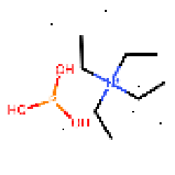 CC[N+](CC)(CC)CC.OP(O)O